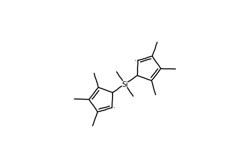 CC1=[C]C([Si](C)(C)C2[C]=C(C)C(C)=C2C)C(C)=C1C